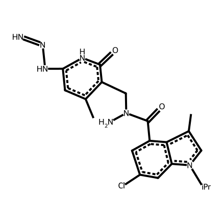 Cc1cc(NN=N)[nH]c(=O)c1CN(N)C(=O)c1cc(Cl)cc2c1c(C)cn2C(C)C